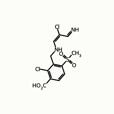 CS(=O)(=O)c1ccc(C(=O)O)c(Cl)c1CN/C=C(/Cl)C=N